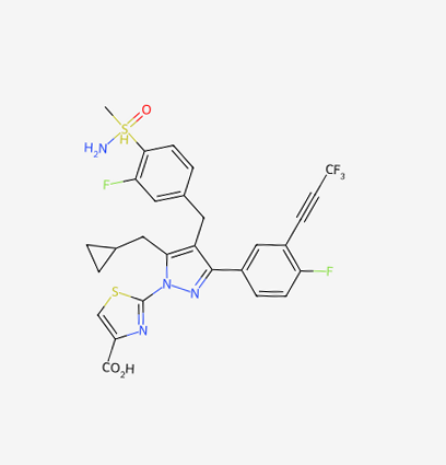 C[SH](N)(=O)c1ccc(Cc2c(-c3ccc(F)c(C#CC(F)(F)F)c3)nn(-c3nc(C(=O)O)cs3)c2CC2CC2)cc1F